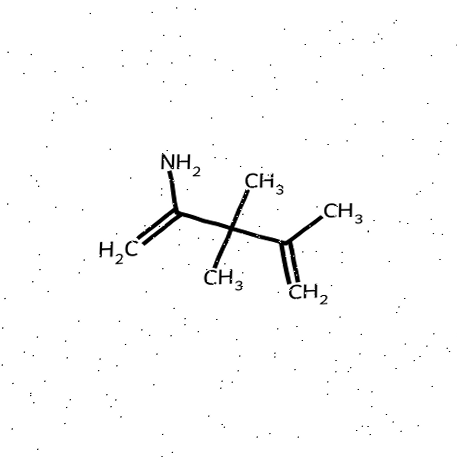 C=C(C)C(C)(C)C(=C)N